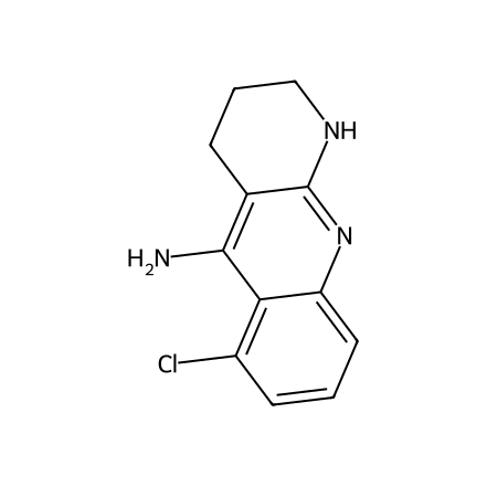 Nc1c2c(nc3cccc(Cl)c13)NCCC2